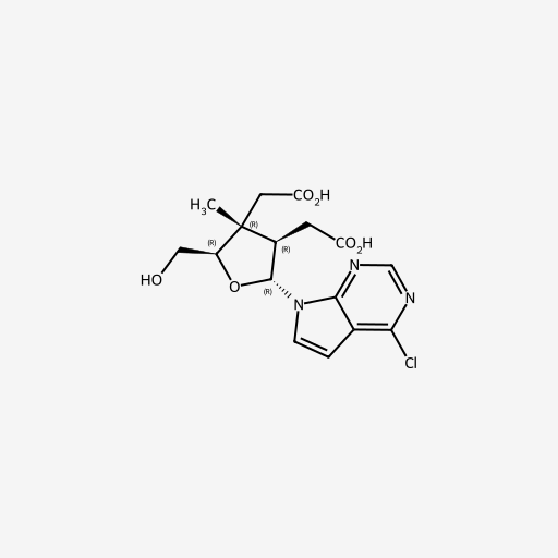 C[C@]1(CC(=O)O)[C@H](CO)O[C@@H](n2ccc3c(Cl)ncnc32)[C@@H]1CC(=O)O